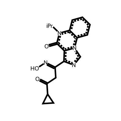 CC(C)n1c(=O)c2c(C(CC(=O)C3CC3)=NO)ncn2c2ccccc21